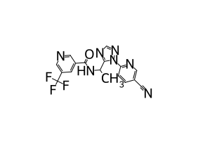 CC(NC(=O)c1cncc(C(F)(F)F)c1)c1ncnn1-c1ccc(C#N)cn1